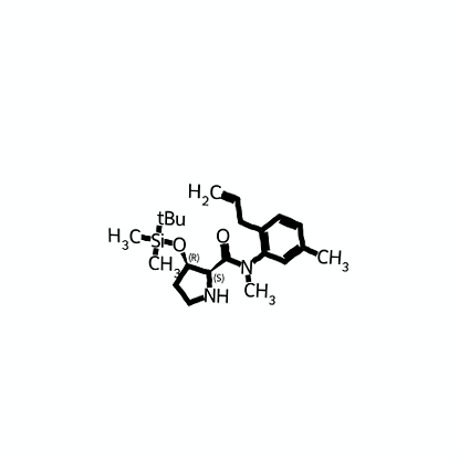 C=CCc1ccc(C)cc1N(C)C(=O)[C@H]1NCC[C@H]1O[Si](C)(C)C(C)(C)C